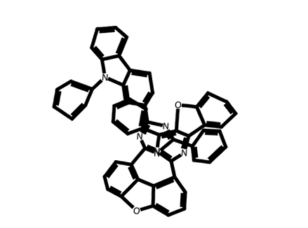 c1ccc(-c2nc(-c3ccc4c5ccccc5n(-c5ccccc5)c4c3)nc(-c3cccc4oc5cccc(-c6nc(-c7ccccc7)c7oc8ccccc8c7n6)c5c34)n2)cc1